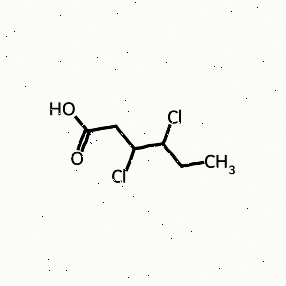 CCC(Cl)C(Cl)CC(=O)O